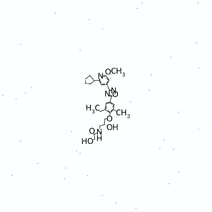 CCc1cc(-c2nc(-c3cc(OC)nc(C4CCCC4)c3)no2)cc(C)c1OC[C@H](O)CNC(=O)CO